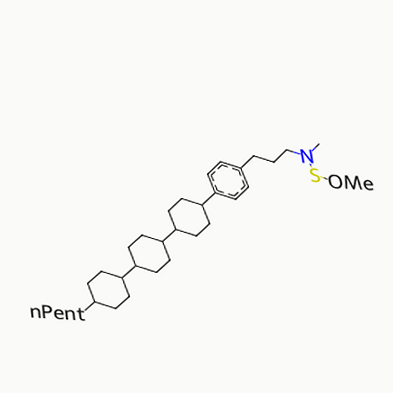 CCCCCC1CCC(C2CCC(C3CCC(c4ccc(CCCN(C)SOC)cc4)CC3)CC2)CC1